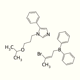 CC(Br)=CCB(c1ccccc1)c1ccccc1.CC(C)OCCCn1cncc1-c1ccccc1